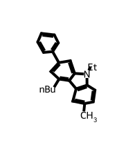 CCCCc1cc(-c2ccccc2)cc2c1c1cc(C)ccc1n2CC